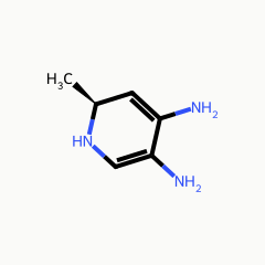 C[C@H]1C=C(N)C(N)=CN1